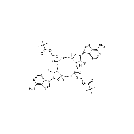 CC(C)(C)C(=O)OCOP1(=O)OC[C@H]2C[C@@H](n3cnc4c(N)ncnc43)C(F)[C@H]2OP(=O)(OCOC(=O)C(C)(C)C)OC[C@H]2O[C@@H](n3cnc4c(N)ncnc43)[C@@H](F)C2O1